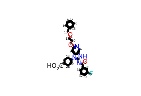 O=C(/N=c1\[nH]c2cnc(OCCOCc3ccccc3)cc2n1C1CCC(C(=O)O)CC1)c1cccc(F)c1